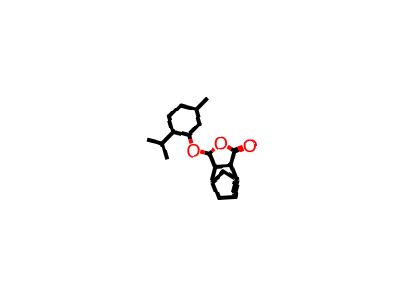 CC1CCC(C(C)C)C(OC2OC(=O)C3C4=CCC(C4)C23)C1